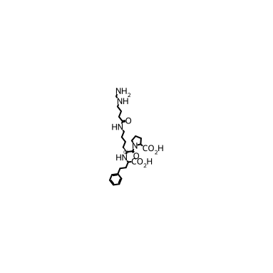 NCNCCCC(=O)NCCCC[C@H](NC(CCc1ccccc1)C(=O)O)C(=O)N1CCCC1C(=O)O